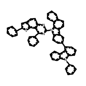 c1ccc(-c2cc3ccc4nc(-n5c6ccc(-c7cccc8c7c7ccccc7n8-c7ccccc7)cc6c6ccc7ccccc7c65)nc(-c5ccccc5)c4c3s2)cc1